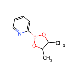 CC1OB(c2ccccn2)OC1C